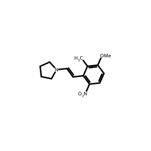 COc1ccc([N+](=O)[O-])c(C=CN2CCCC2)c1C